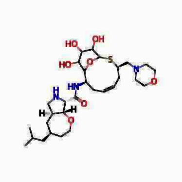 CC(C)C[C@@H]1CCO[C@@H]2[C@H](CN[C@@H]2C(=O)N[C@@H]2C/C=C\C[C@H](CN3CCOCC3)SC3OC2C(O)C(O)C3O)C1